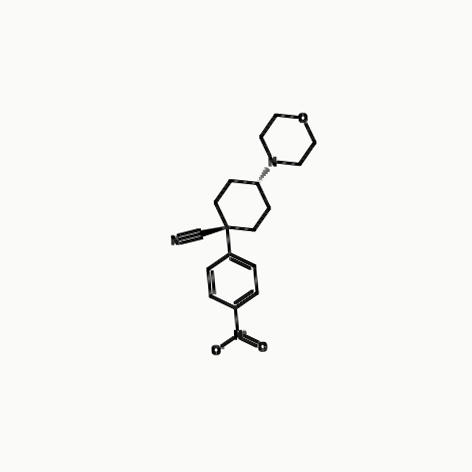 N#C[C@]1(c2ccc([N+](=O)[O-])cc2)CC[C@@H](N2CCOCC2)CC1